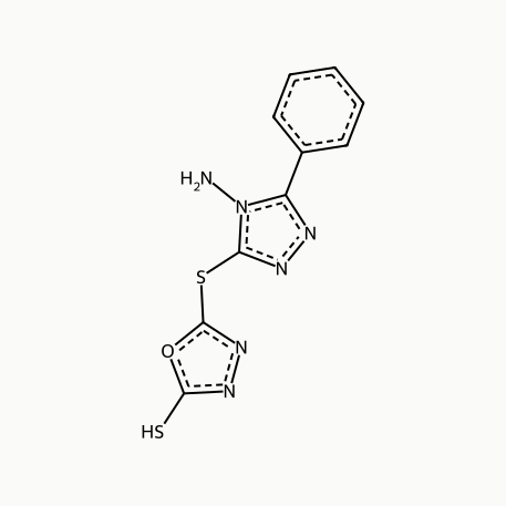 Nn1c(Sc2nnc(S)o2)nnc1-c1ccccc1